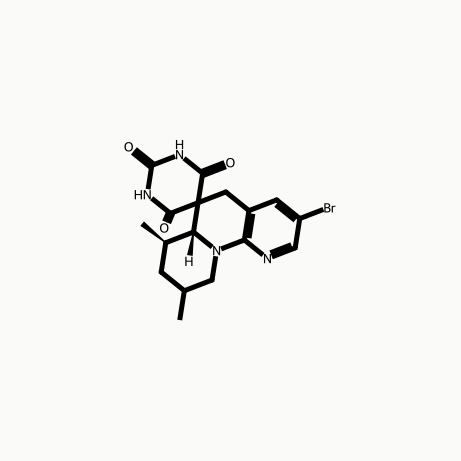 CC1C[C@@H](C)[C@H]2N(C1)c1ncc(Br)cc1CC21C(=O)NC(=O)NC1=O